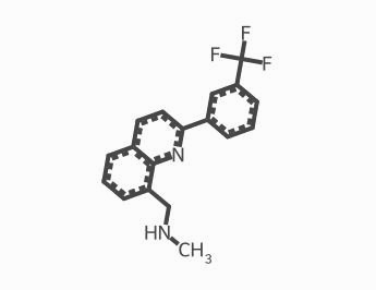 CNCc1cccc2ccc(-c3cccc(C(F)(F)F)c3)nc12